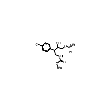 CC[PH](=O)OCC(O)C(CNC(=O)OC(C)(C)C)c1ccc(Cl)cc1